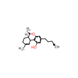 C#CCCCc1cc(O)c2c(c1)OC(=C)[C@@H]1CCC(C)=CC21